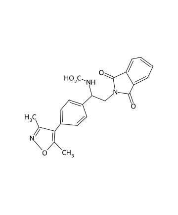 Cc1noc(C)c1-c1ccc(C(CN2C(=O)c3ccccc3C2=O)NC(=O)O)cc1